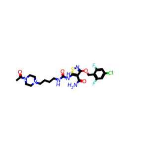 CC(=O)N1CCN(CCCCNC(=O)Nc2snc(OCc3c(F)cc(Cl)cc3F)c2C(N)=O)CC1